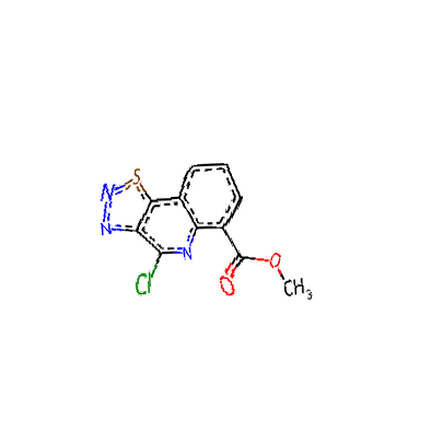 COC(=O)c1cccc2c1nc(Cl)c1nnsc12